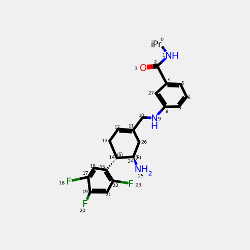 CC(C)NC(=O)c1cccc(NCC2=CC[C@@H](c3cc(F)c(F)cc3F)[C@H](N)C2)c1